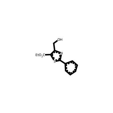 CCOC(=O)c1sc(-c2ccccc2)nc1CO